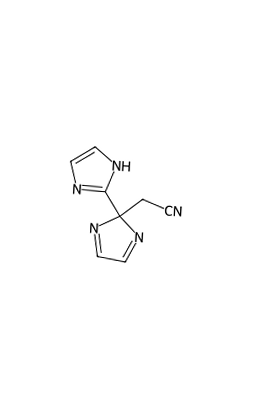 N#CCC1(c2ncc[nH]2)N=CC=N1